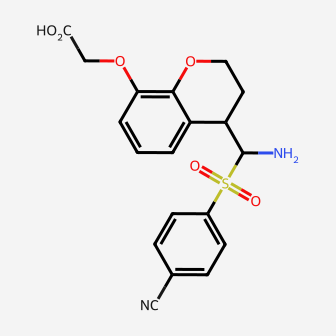 N#Cc1ccc(S(=O)(=O)C(N)C2CCOc3c(OCC(=O)O)cccc32)cc1